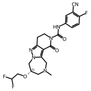 CN1Cc2c3c(nn2C[C@@H](OCC(F)F)C1)CCN(C(=O)Nc1ccc(F)c(C#N)c1)C3=O